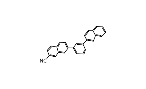 N#Cc1ccc2ccc(-c3cccc(-c4ccc5ccccc5c4)c3)cc2c1